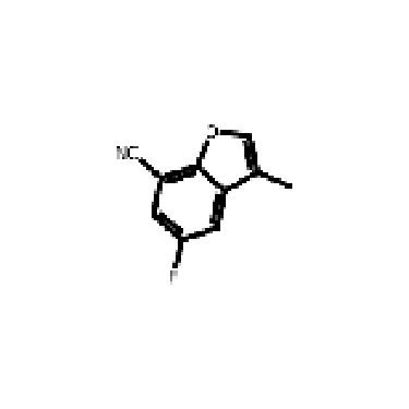 Cc1coc2c(C#N)cc(F)cc12